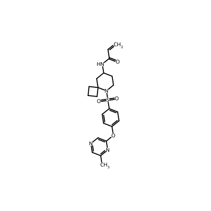 C=CC(=O)NC1CCN(S(=O)(=O)c2ccc(Oc3cncc(C)n3)cc2)C2(CCC2)C1